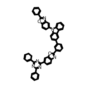 C1=CCCC(c2nc(-c3ccccc3)nc(-c3ccc4nc(-c5cccc(-c6ccc7c(c6)c6ccccc6n7-c6ccc7oc(-c8ccccc8)nc7c6)c5)oc4c3)n2)=C1